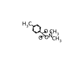 Cc1ccc(S(=O)(=O)ON(C)C)cc1